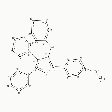 FC(F)(F)Oc1ccc(-n2cc(-c3ccccc3)c(-c3ccccn3)c2Cc2ccccc2)cc1